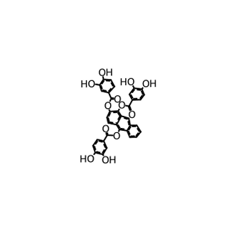 O=C(Oc1ccc2c(OC(=O)c3ccc(O)c(O)c3)c3ccccc3cc2c1OC(=O)c1ccc(O)c(O)c1)c1ccc(O)c(O)c1